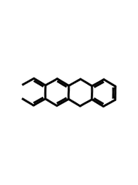 C/C=c1/cc2c(c/c1=C/C)Cc1ccccc1C2